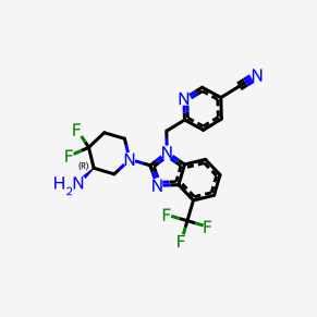 N#Cc1ccc(Cn2c(N3CCC(F)(F)[C@H](N)C3)nc3c(C(F)(F)F)cccc32)nc1